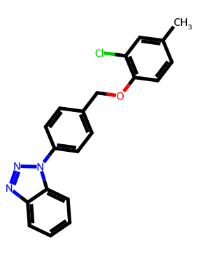 Cc1ccc(OCc2ccc(-n3nnc4ccccc43)cc2)c(Cl)c1